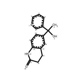 CC(O)(c1cccnc1)c1ccc2c(c1)CCC(=O)N2